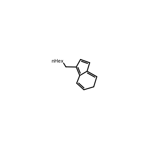 CCCCCCCC1=C2C=CCC=C2C=C1